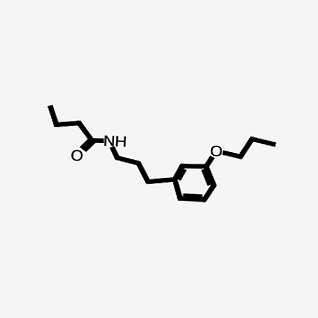 CCCOc1cccc(CCCNC(=O)CCC)c1